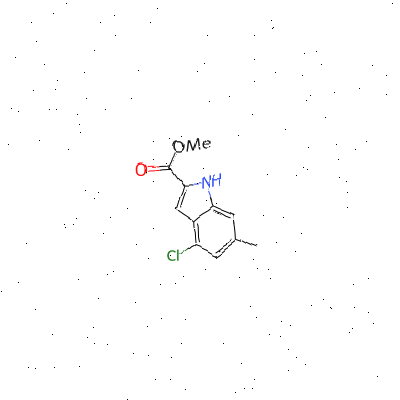 COC(=O)c1cc2c(Cl)cc(C)cc2[nH]1